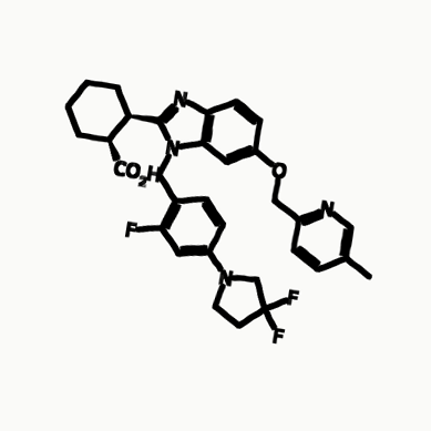 Cc1ccc(COc2ccc3nc([C@@H]4CCCC[C@@H]4C(=O)O)n(Cc4ccc(N5CCC(F)(F)C5)cc4F)c3c2)nc1